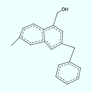 Cc1ccc2c(CO)cc(Cc3ccccc3)cc2c1